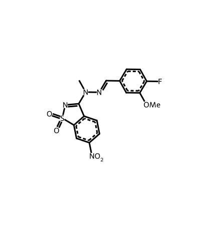 COc1cc(/C=N/N(C)C2=NS(=O)(=O)c3cc([N+](=O)[O-])ccc32)ccc1F